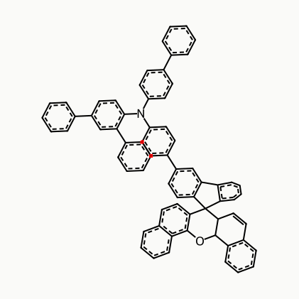 C1=CC2C(Oc3c(ccc4ccccc34)C23c2ccccc2-c2cc(-c4ccc(N(c5ccc(-c6ccccc6)cc5)c5ccc(-c6ccccc6)cc5-c5ccccc5)cc4)ccc23)c2ccccc21